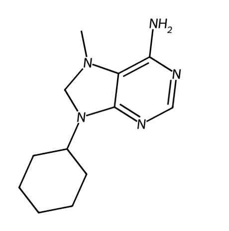 CN1CN(C2CCCCC2)c2ncnc(N)c21